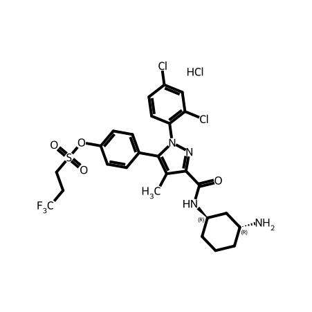 Cc1c(C(=O)N[C@@H]2CCC[C@@H](N)C2)nn(-c2ccc(Cl)cc2Cl)c1-c1ccc(OS(=O)(=O)CCC(F)(F)F)cc1.Cl